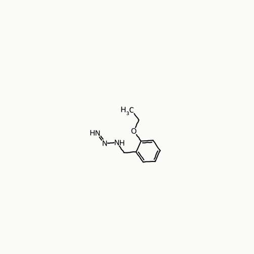 CCOc1ccccc1CNN=N